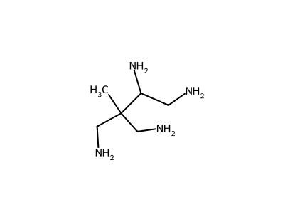 CC(CN)(CN)C(N)CN